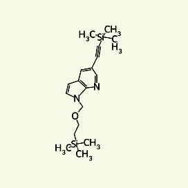 C[Si](C)(C)C#Cc1cnc2c(ccn2COCC[Si](C)(C)C)c1